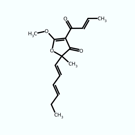 C/C=C/C(=O)C1=C(OC)OC(C)(/C=C/C=C/CC)C1=O